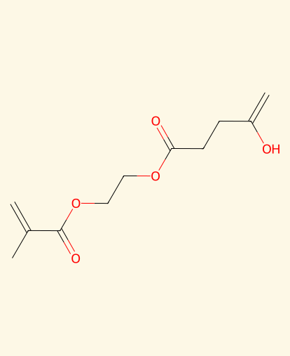 C=C(O)CCC(=O)OCCOC(=O)C(=C)C